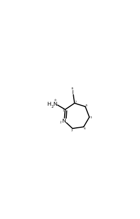 NC1=NCCCCC1I